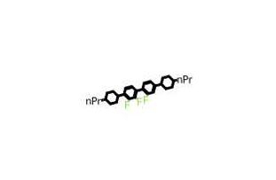 CCCC1CCC(c2ccc(-c3ccc(C4CCC(CCC)CC4)c(F)c3F)c(F)c2)CC1